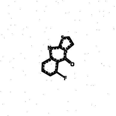 O=c1c2c(F)cccc2nc2sccn12